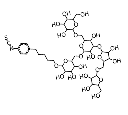 OCC1OC(OCC2OC(OC3C(O)C(COC4OC(CO)C(O)C(O)C4O)OC(OCC4OC(OCCCCCc5ccc(N=C=S)cc5)C(O)C(O)C4O)C3O)C(O)C2O)C(O)C1O